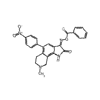 CN1CCc2c(-c3ccc([N+](=O)[O-])cc3)cc3c(c2C1)NC(=O)C3=NOC(=O)c1ccccc1